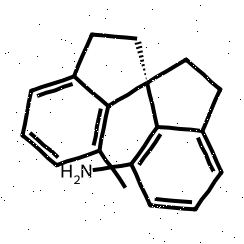 Cc1cccc2c1[C@@]1(CC2)CCc2cccc(N)c21